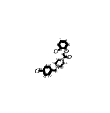 O=C(COc1ccccc1Cl)N1CCN(Cc2ccc(Cl)cc2)CC1